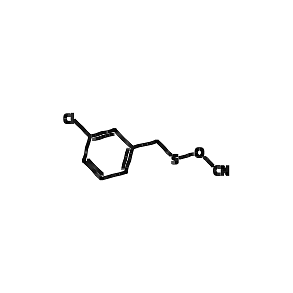 N#COSCc1cccc(Cl)c1